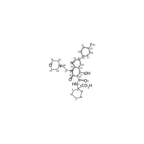 O=C(NC1(C(=O)O)CCCCC1)c1c(O)c2cc(-c3ccc(F)cc3)cnc2n(CCN2CCOCC2)c1=O